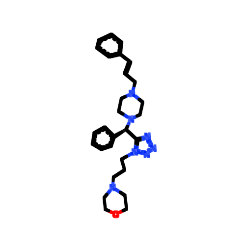 C(=C\c1ccccc1)/CN1CCN([C@H](c2ccccc2)c2nnnn2CCCN2CCOCC2)CC1